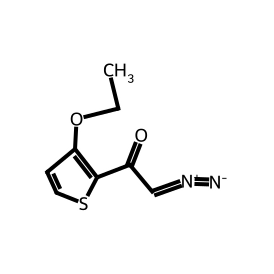 CCOc1ccsc1C(=O)C=[N+]=[N-]